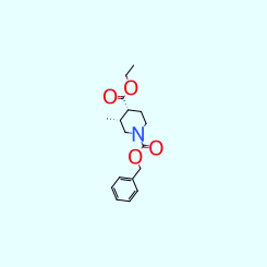 CCOC(=O)[C@@H]1CCN(C(=O)OCc2ccccc2)C[C@@H]1C